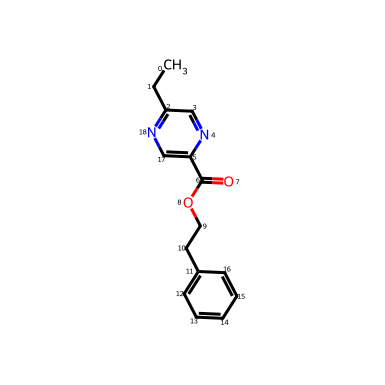 CCc1cnc(C(=O)OCCc2ccccc2)cn1